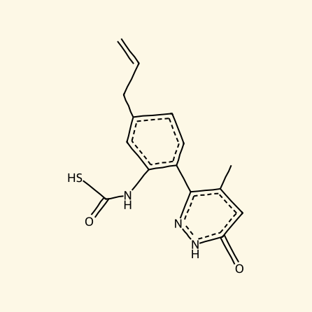 C=CCc1ccc(-c2n[nH]c(=O)cc2C)c(NC(=O)S)c1